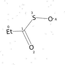 CCC(=O)S[O]